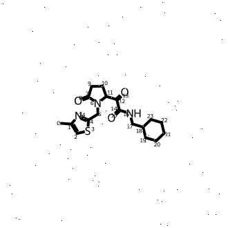 Cc1csc(CN2C(=O)CCC2C(=O)C(=O)NCC2CCCCC2)n1